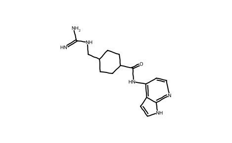 N=C(N)NCC1CCC(C(=O)Nc2ccnc3[nH]ccc23)CC1